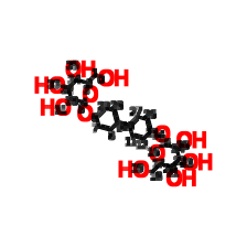 OCC1O[C@H](Oc2ccc(-c3ccc(O[C@H]4OC(CO)[C@@H](O)C(O)C4O)cc3)cc2)C(O)C(O)[C@@H]1O